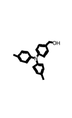 Cc1ccc(N(c2ccc(C)cc2)c2ccc(CO)cc2)cc1